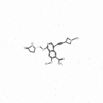 CC(C)Oc1cc2c(OC[C@@H]3CCC(=O)N3)ncc(C#CC3CN(C(C)C)C3)c2cc1C(N)=O